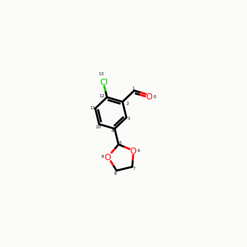 O=Cc1cc(C2OCCO2)ccc1Cl